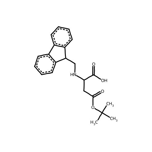 CC(C)(C)OC(=O)CC(NCC1c2ccccc2-c2ccccc21)C(=O)O